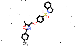 Cc1oc(-c2ccc(C(F)(F)F)cc2)nc1COc1ccc(S(=O)(=O)N2CCc3ccccc32)cc1